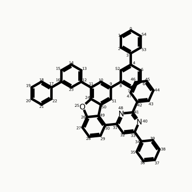 c1ccc(-c2cccc(-c3cc(-c4cccc(-c5ccccc5)c4)c4oc5cccc(-c6cc(-c7ccccc7)nc(-c7ccccc7)n6)c5c4c3)c2)cc1